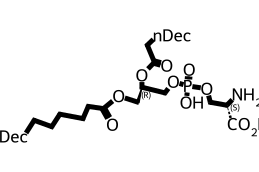 CCCCCCCCCCCCCCCC(=O)OC[C@H](COP(=O)(O)OC[C@H](N)C(=O)O)OC(=O)CCCCCCCCCCC